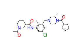 CC(=O)N1CCC[C@@H](C(=O)Nc2cc(Cl)cc(CN3CCN(C(=O)C4CCCC4)[C@@H](C)C3)c2C)C1